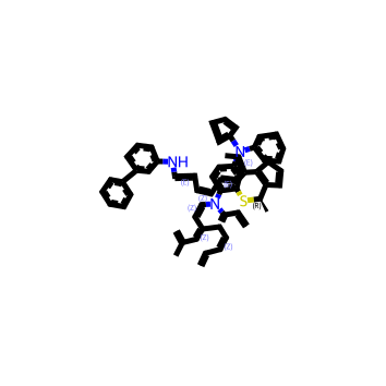 C=C/C=C\CC(/C=C\N(C(=C)C=C)c1ccc(N(C2=C=CC=C2)c2ccccc2)cc1S[C@H](C)C1=C(C(/C=C/C=C\C=C\Nc2cccc(-c3ccccc3)c2)=C/C)CC=C1)=C/C(=C)C